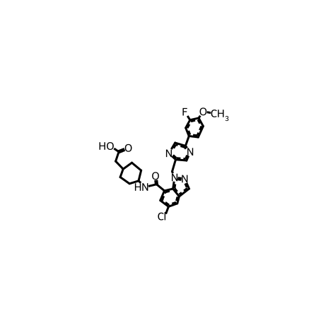 COc1ccc(-c2cnc(Cn3ncc4cc(Cl)cc(C(=O)NC5CCC(CC(=O)O)CC5)c43)cn2)cc1F